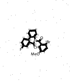 COc1ccc(Br)c(C(=O)N2c3ccccc3-c3ccc(F)cc3C2C)c1